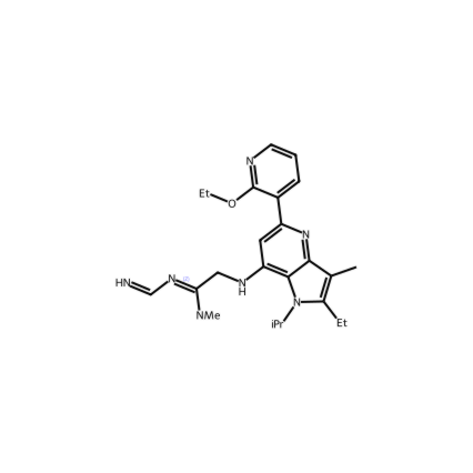 CCOc1ncccc1-c1cc(NC/C(=N/C=N)NC)c2c(n1)c(C)c(CC)n2C(C)C